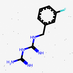 N=C(N)NC(=N)NCc1cccc(F)c1